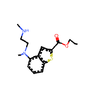 CCOC(=O)c1cc2c(N(C)CCNC)cccc2s1